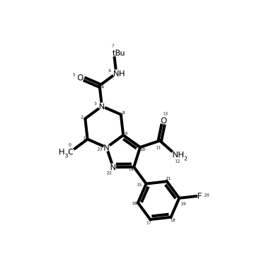 CC1CN(C(=O)NC(C)(C)C)Cc2c(C(N)=O)c(-c3cccc(F)c3)nn21